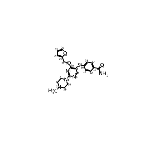 CN1CCN(c2ncc(Sc3ccc(C(N)=O)cc3)c(OCc3ccco3)n2)CC1